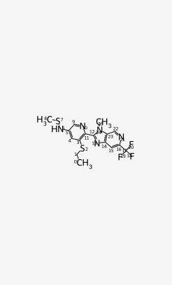 CCSc1cc(NSC)cnc1-c1nc2cc(C(F)(F)F)ncc2n1C